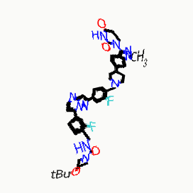 Cn1nc(N2CCC(=O)NC2=O)c2ccc(C3CCN(Cc4ccc(-c5cc6nccc(-c7ccc(CNC(=O)N8CC(OC(C)(C)C)C8)c(F)c7)n6n5)cc4F)CC3)cc21